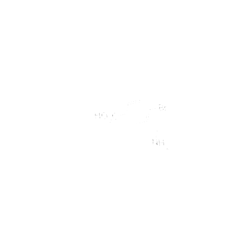 NCc1cc(C(=O)O)ccc1Br